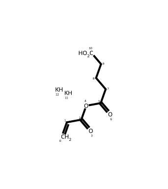 C=CC(=O)OC(=O)CCCC(=O)O.[KH].[KH]